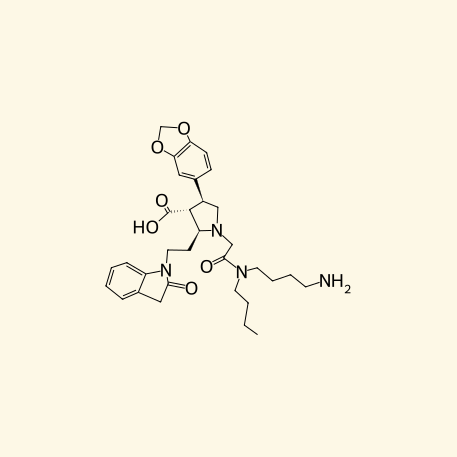 CCCCN(CCCCN)C(=O)CN1C[C@H](c2ccc3c(c2)OCO3)[C@@H](C(=O)O)[C@@H]1CCN1C(=O)Cc2ccccc21